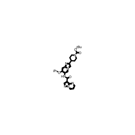 CC(C)Oc1cc2nc(C3CCN(C(=O)OC(C)(C)C)CC3)cn2cc1NC(=O)c1cnn2cccnc12